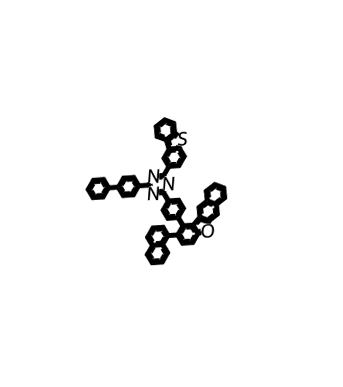 c1ccc(-c2ccc(-c3nc(-c4ccc(-c5c(-c6cccc7ccccc67)ccc6oc7cc8ccccc8cc7c56)cc4)nc(-c4ccc5sc6ccccc6c5c4)n3)cc2)cc1